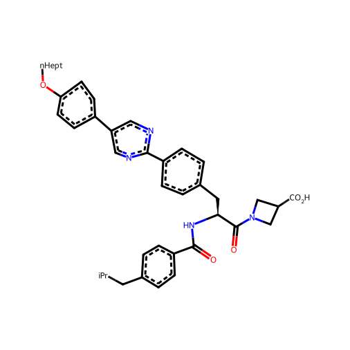 CCCCCCCOc1ccc(-c2cnc(-c3ccc(C[C@H](NC(=O)c4ccc(CC(C)C)cc4)C(=O)N4CC(C(=O)O)C4)cc3)nc2)cc1